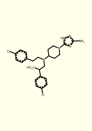 Nc1n[nH]c(N2CCC(N(CCc3ccc(Cl)cc3)CC(C(=O)O)c3ccc(Cl)cc3)CC2)n1